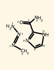 CN=NN.NC(=O)c1ncc[nH]1